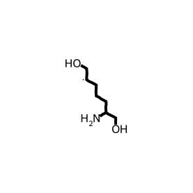 NC(CO)CCC[CH]CO